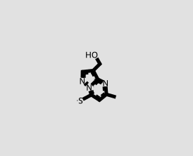 Cc1cc([S])n2ncc(CO)c2n1